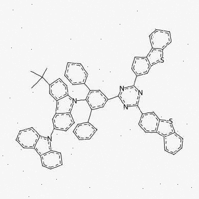 CC(C)(C)c1ccc2c(c1)c1cc(-n3c4ccccc4c4ccccc43)ccc1n2-c1c(-c2ccccc2)cc(-c2nc(-c3ccc4c(c3)sc3ccccc34)nc(-c3ccc4c(c3)sc3ccccc34)n2)cc1-c1ccccc1